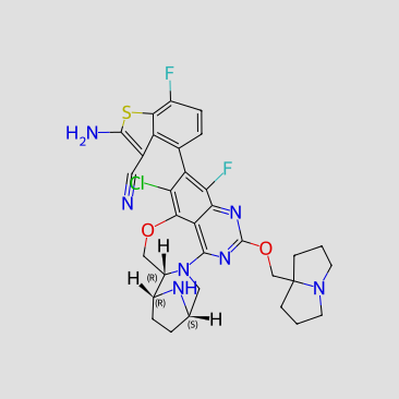 N#Cc1c(N)sc2c(F)ccc(-c3c(Cl)c4c5c(nc(OCC67CCCN6CCC7)nc5c3F)N3C[C@@H]5CC[C@@H](N5)[C@@H]3CO4)c12